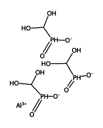 O=[PH]([O-])C(O)O.O=[PH]([O-])C(O)O.O=[PH]([O-])C(O)O.[Al+3]